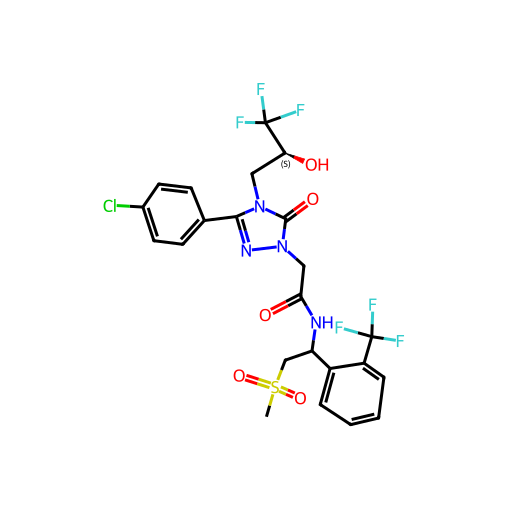 CS(=O)(=O)CC(NC(=O)Cn1nc(-c2ccc(Cl)cc2)n(C[C@H](O)C(F)(F)F)c1=O)c1ccccc1C(F)(F)F